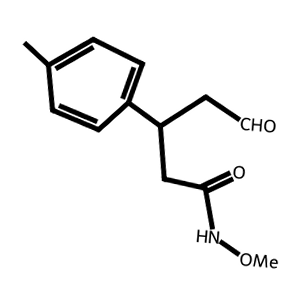 CONC(=O)CC(CC=O)c1ccc(C)cc1